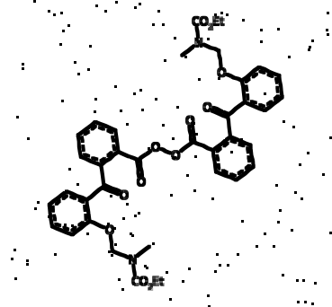 CCOC(=O)N(C)COc1ccccc1C(=O)c1ccccc1C(=O)OOC(=O)c1ccccc1C(=O)c1ccccc1OCN(C)C(=O)OCC